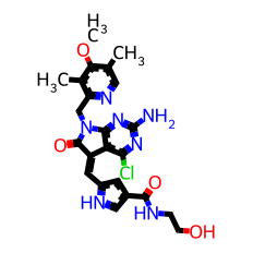 COc1c(C)cnc(CN2C(=O)/C(=C/c3cc(C(=O)NCCO)c[nH]3)c3c(Cl)nc(N)nc32)c1C